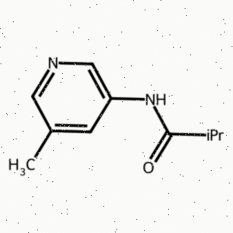 Cc1cncc(NC(=O)C(C)C)c1